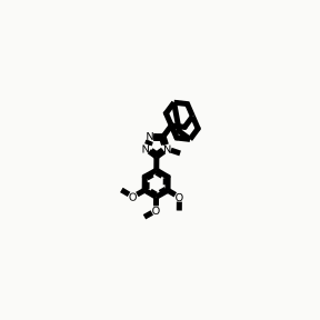 COc1cc(-c2nnc(C34CC5CC(CC(C5)C3)C4)n2C)cc(OC)c1OC